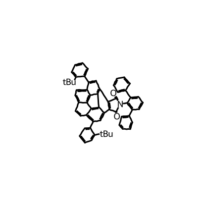 CC(C)(C)c1ccccc1-c1cc2c3c(=O)n(-c4c(-c5ccccc5)cccc4-c4ccccc4)c(=O)c3c3cc(-c4ccccc4C(C)(C)C)c4ccc5ccc1c1c5c4c3c21